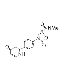 CNC(=O)[C@H]1CN(c2ccc(C3CC(=O)C=CN3)cc2)C(=O)O1